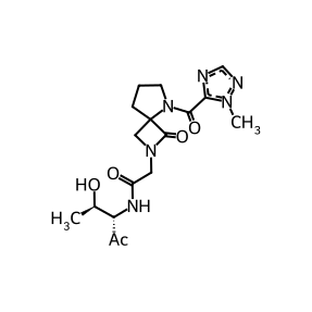 CC(=O)[C@@H](NC(=O)CN1CC2(CCCN2C(=O)c2ncnn2C)C1=O)[C@@H](C)O